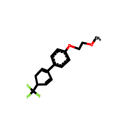 COCCOc1ccc(C2=CCC(C(F)(F)F)C=C2)cc1